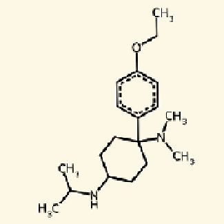 CCOc1ccc(C2(N(C)C)CCC(NC(C)C)CC2)cc1